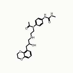 CNC(=O)Nc1ccc(N(CCNCC(O)Cc2cccc3c2OCCO3)C(C)=O)cc1